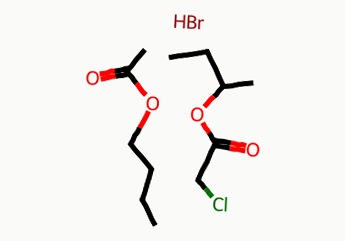 Br.CCC(C)OC(=O)CCl.CCCCOC(C)=O